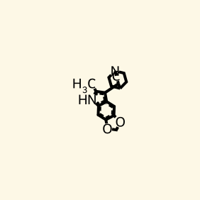 Cc1[nH]c2cc3c(cc2c1C1CN2CCC1CC2)OCO3